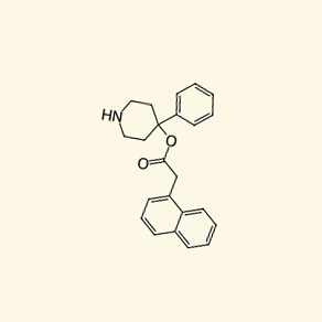 O=C(Cc1cccc2ccccc12)OC1(c2ccccc2)CCNCC1